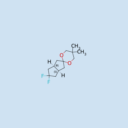 CC1(C)COC2(C[C@H]3CC(F)(F)C[C@H]3C2)OC1